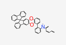 C=C/C=C\C(=C)N(C)c1ccccc1-c1cccc2c1Oc1cc3c(cc1O2)C1(c2ccccc2-c2ccccc21)c1ccccc1-3